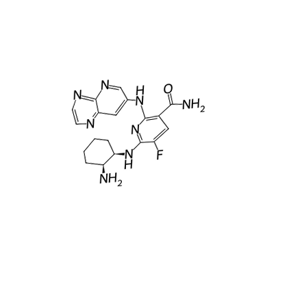 NC(=O)c1cc(F)c(N[C@@H]2CCCC[C@@H]2N)nc1Nc1cnc2nccnc2c1